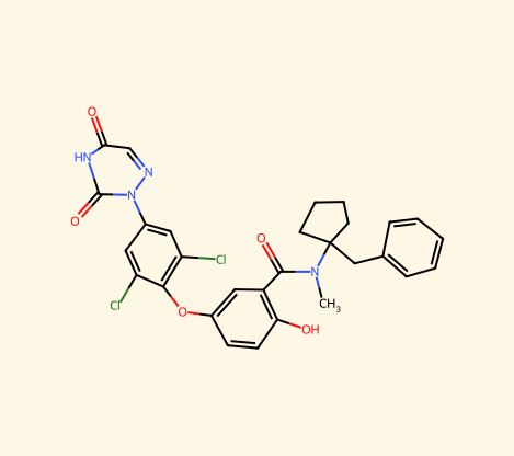 CN(C(=O)c1cc(Oc2c(Cl)cc(-n3ncc(=O)[nH]c3=O)cc2Cl)ccc1O)C1(Cc2ccccc2)CCCC1